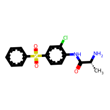 C[C@@H](N)C(=O)Nc1ccc(S(=O)(=O)c2ccccc2)cc1Cl